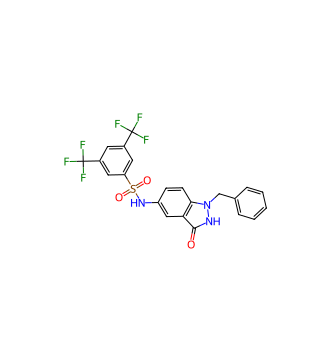 O=c1[nH]n(Cc2ccccc2)c2ccc(NS(=O)(=O)c3cc(C(F)(F)F)cc(C(F)(F)F)c3)cc12